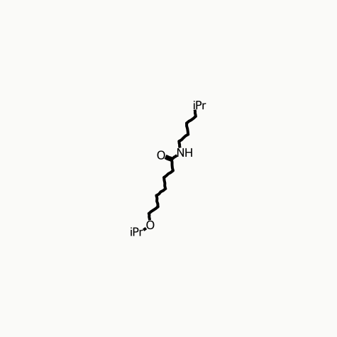 CC(C)CCCCNC(=O)CCCCCCOC(C)C